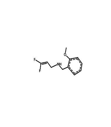 COc1ccccc1CNCC=C(F)F